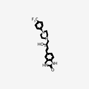 O=C1NCc2cc(C=C[C@@H](O)CN3CCN(c4ccc(C(F)(F)F)cc4)CC3)ccc2N1